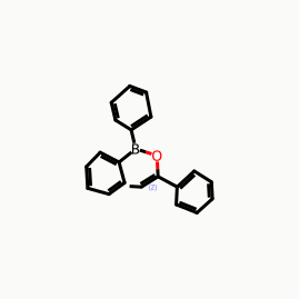 C/C=C(\OB(c1ccccc1)c1ccccc1)c1ccccc1